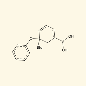 CC(C)(C)C1(Oc2ccccc2)C=CC=C(B(O)O)C1